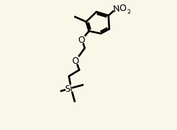 Cc1cc([N+](=O)[O-])ccc1OCOCC[Si](C)(C)C